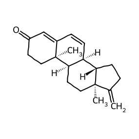 C=C1CC[C@H]2[C@@H]3C=CC4=CC(=O)CC[C@]4(C)[C@@H]3CC[C@]12C